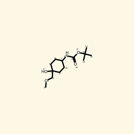 COCC1(O)CCC(NC(=O)OC(C)(C)C)CC1